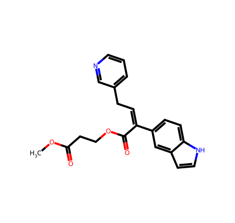 COC(=O)CCOC(=O)C(=CCc1cccnc1)c1ccc2[nH]ccc2c1